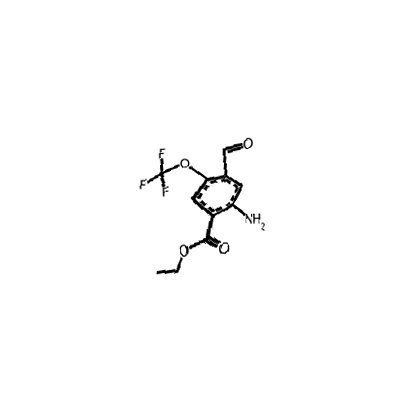 CCOC(=O)c1cc(OC(F)(F)F)c(C=O)cc1N